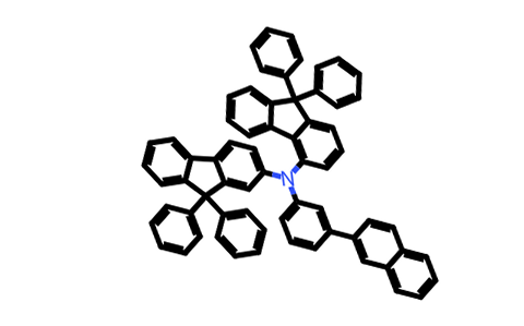 c1ccc(C2(c3ccccc3)c3ccccc3-c3ccc(N(c4cccc(-c5ccc6ccccc6c5)c4)c4cccc5c4-c4ccccc4C5(c4ccccc4)c4ccccc4)cc32)cc1